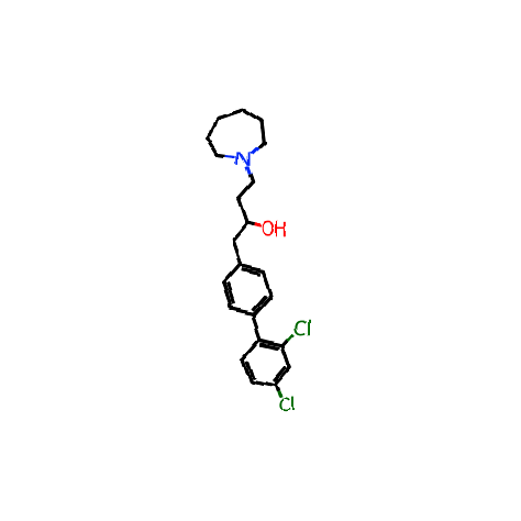 OC(CCN1CCCCCC1)Cc1ccc(-c2ccc(Cl)cc2Cl)cc1